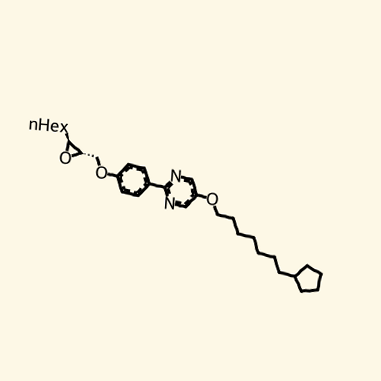 CCCCCC[C@@H]1O[C@H]1COc1ccc(-c2ncc(OCCCCCCCC3CCCC3)cn2)cc1